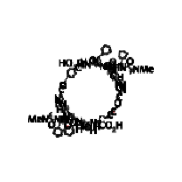 CN[C@@H](C)C(=O)N[C@H](C(=O)N1C[C@@H]2C[C@H]1C(=O)N[C@@H](CCc1ccccc1)C(=O)N[C@H](C(=O)O)Cc1ccc(cc1)OCc1cn(nn1)[C@H]1C[C@@H](C(=O)N[C@@H](CCc3ccccc3)C(=O)N[C@H](C(=O)O)Cc3ccc(cc3)OCc3cn2nn3)N(C(=O)[C@@H](NC(=O)[C@H](C)NC)c2ccccc2)C1)c1ccccc1